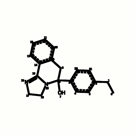 CCc1ccc(C2(O)Cc3ccccc3C3=NCCN32)cc1